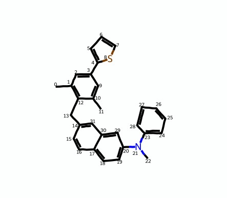 Cc1cc(-c2cccs2)cc(C)c1Cc1ccc2ccc(N(C)c3ccccc3)cc2c1